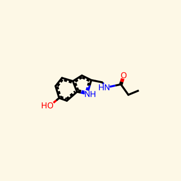 CCC(=O)NCc1cc2ccc(O)cc2[nH]1